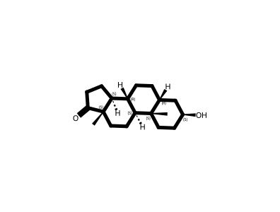 C[C@]12CC[C@H](O)C[C@H]1CC[C@@H]1[C@@H]2CC[C@]2(C)C(=O)CC[C@@H]12